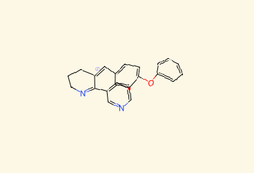 C(=C1\CCCN=C1c1cccnc1)/c1ccc(Oc2ccccc2)cc1